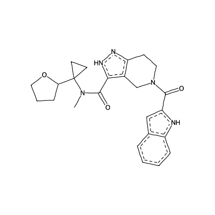 CN(C(=O)c1[nH]nc2c1CN(C(=O)c1cc3ccccc3[nH]1)CC2)C1(C2CCCO2)CC1